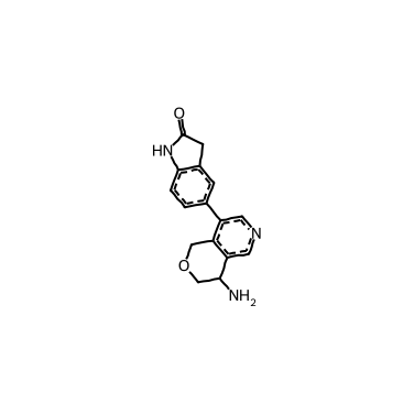 NC1COCc2c(-c3ccc4c(c3)CC(=O)N4)cncc21